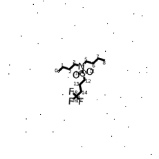 CCCCN(CCCC)S(=O)(=O)CCCC(F)(F)F